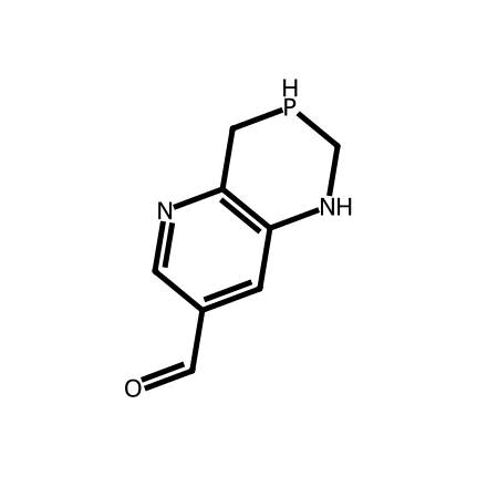 O=Cc1cnc2c(c1)NCPC2